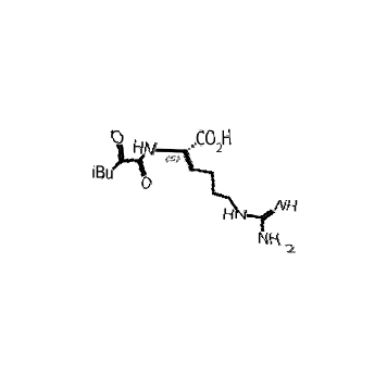 CCC(C)C(=O)C(=O)N[C@@H](CCCCNC(=N)N)C(=O)O